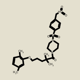 Cc1ccc(C)c(OCCCC(C)(C)C(=O)N2CCN(S(=O)(=O)c3ccc(C[SH](=O)=O)cc3)CC2)c1